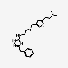 CN(C)CCc1cc(CSCCNc2nc(Cc3ccccc3)n[nH]2)cs1